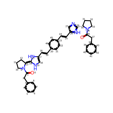 O=C(Cc1ccccc1)N1CCC/C1=C1/NC=C(/C=C/c2ccc(/C=C/c3cnc([C@@H]4CCCN4C(=O)Cc4ccccc4)[nH]3)cc2)N1